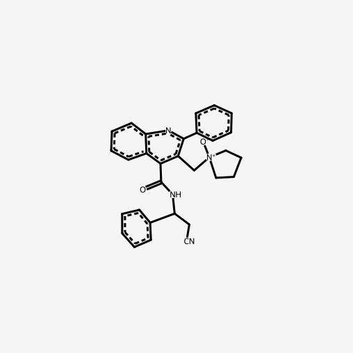 N#CCC(NC(=O)c1c(C[N+]2([O-])CCCC2)c(-c2ccccc2)nc2ccccc12)c1ccccc1